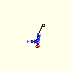 c1c(CNc2nc(N3CCNCC3)nc3c2ncn3C2CCCCO2)nnn1CCCCCCCC1CCCCC1